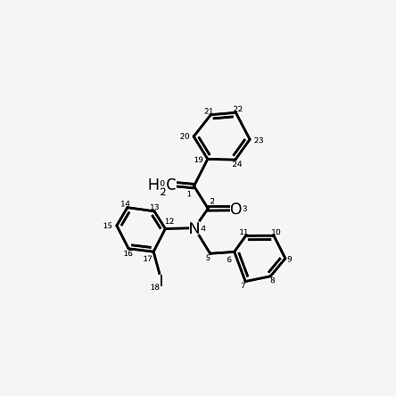 C=C(C(=O)N(Cc1ccccc1)c1ccccc1I)c1ccccc1